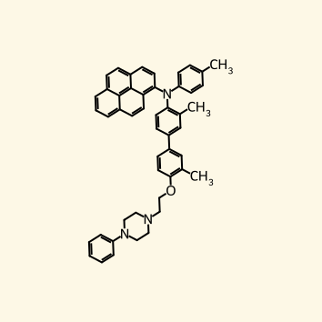 Cc1ccc(N(c2ccc(-c3ccc(OCCN4CCN(c5ccccc5)CC4)c(C)c3)cc2C)c2ccc3ccc4cccc5ccc2c3c45)cc1